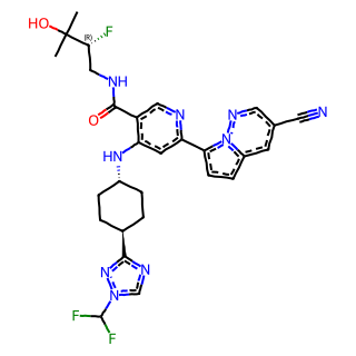 CC(C)(O)[C@H](F)CNC(=O)c1cnc(-c2ccc3cc(C#N)cnn23)cc1N[C@H]1CC[C@H](c2ncn(C(F)F)n2)CC1